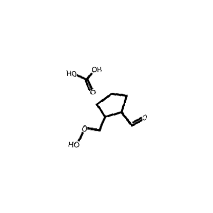 O=C(O)O.O=CC1CCCC1COO